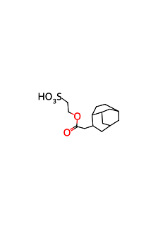 O=C(CC1CC2CC3CCC1C(C3)C2)OCCS(=O)(=O)O